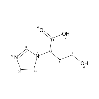 O=C(O)C(CCO)N1C=NCC1